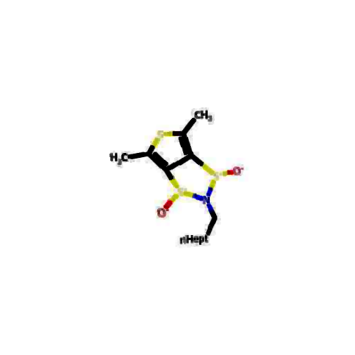 CCCCCCCCN1[S+]([O-])c2c(C)sc(C)c2[S+]1[O-]